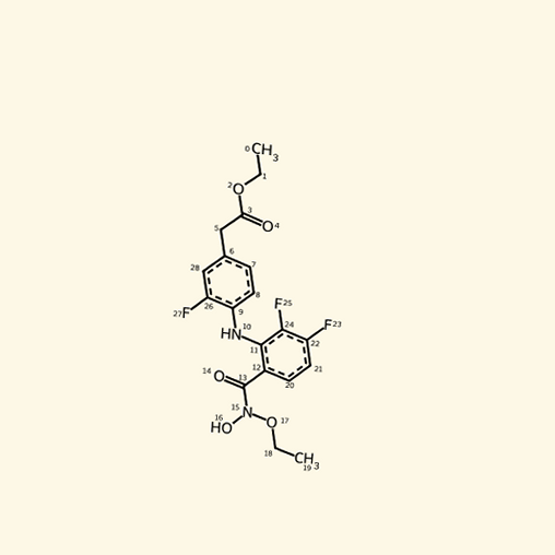 CCOC(=O)Cc1ccc(Nc2c(C(=O)N(O)OCC)ccc(F)c2F)c(F)c1